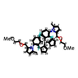 COCCOCc1ccc(C)n1-c1ccc(F)[c]([Ti]([C]2=CC=CC2)([C]2=CC=CC2)[c]2c(F)ccc(-n3c(C)ccc3COCCOC)c2F)c1F